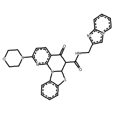 O=C(NCc1cn2ccccc2n1)C1C(=O)c2ccc(N3CCOCC3)nc2N2c3ccccc3SC12